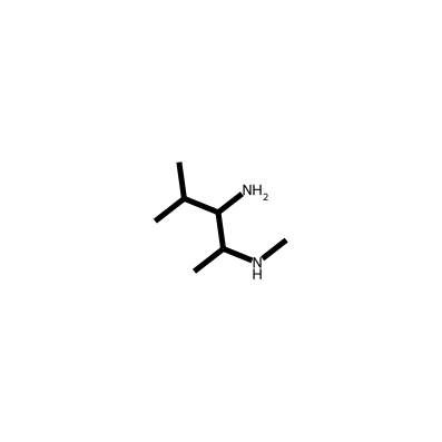 CNC(C)C(N)C(C)C